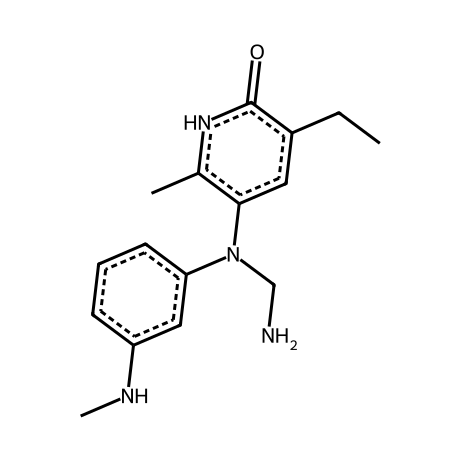 CCc1cc(N(CN)c2cccc(NC)c2)c(C)[nH]c1=O